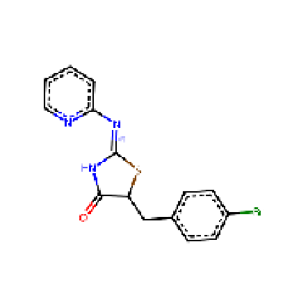 O=C1N/C(=N\c2ccccn2)SC1Cc1ccc(Br)cc1